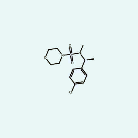 C[C@@H](c1ccc(Cl)cc1)N(C)S(=O)(=O)N1CCOCC1